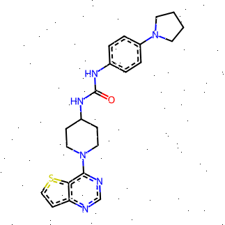 O=C(Nc1ccc(N2CCCC2)cc1)NC1CCN(c2ncnc3ccsc23)CC1